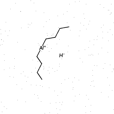 CCC[CH2][Al+][CH2]CCC.[H-]